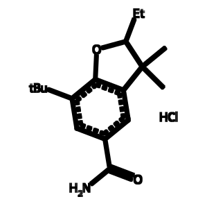 CCC1Oc2c(C(C)(C)C)cc(C(N)=O)cc2C1(C)C.Cl